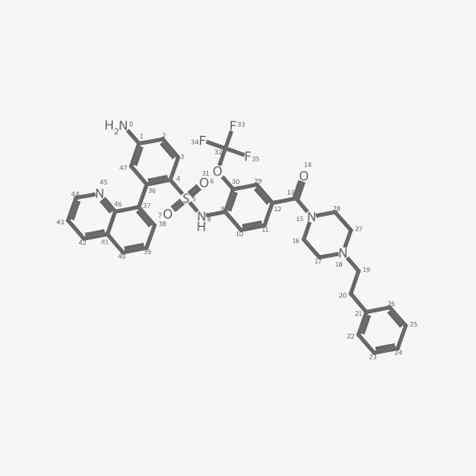 Nc1ccc(S(=O)(=O)Nc2ccc(C(=O)N3CCN(CCc4ccccc4)CC3)cc2OC(F)(F)F)c(-c2cccc3cccnc23)c1